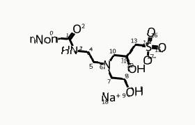 CCCCCCCCCC(=O)NCCN(CCO)CC(O)CS(=O)(=O)[O-].[Na+]